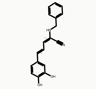 N#C/C(=C\C=C\c1ccc(O)c(O)c1)NCc1ccccc1